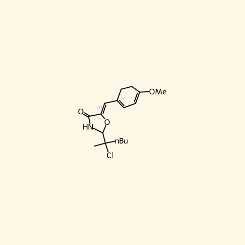 CCCCC(C)(Cl)C1NC(=O)/C(=C/C2=CC=C(OC)CC2)O1